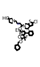 CCn1cc(-c2ccccc2[C@@H]2CN(C(=O)/C=C/CN3CCC(O)C3)Cc3sc(Cl)cc32)c(C(C)(F)C(=O)OCc2ccccc2)n1